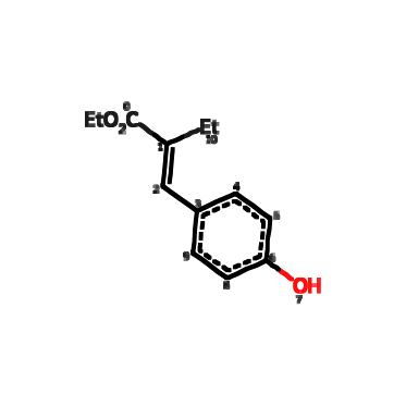 CCOC(=O)/C(=C/c1ccc(O)cc1)CC